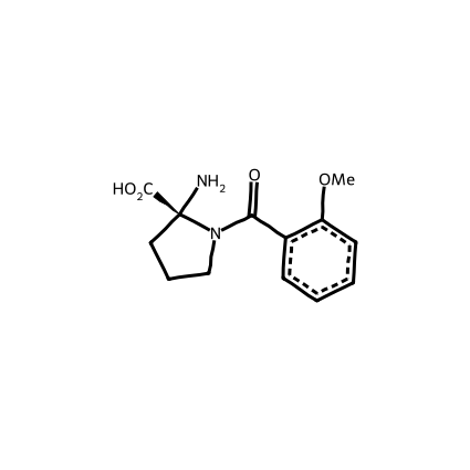 COc1ccccc1C(=O)N1CCC[C@@]1(N)C(=O)O